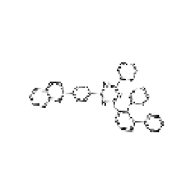 c1ccc(-c2nc(-c3ccc(-c4ccc5ccccc5c4)cc3)nc(-c3cccc(-c4ccccc4)c3-c3ccccc3)n2)cc1